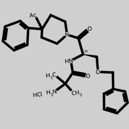 CC(=O)C1(c2ccccc2)CCN(C(=O)[C@@H](COCc2ccccc2)NC(=O)C(C)(C)N)CC1.Cl